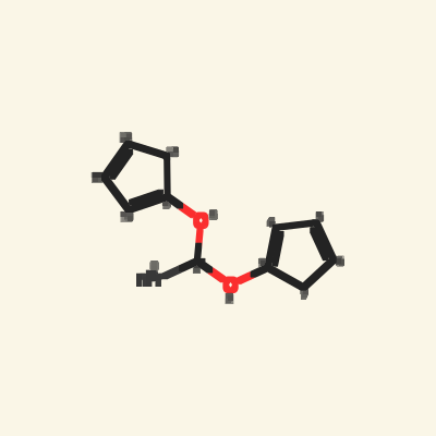 CCC[C](OC1=CC=CC1)OC1=CC=CC1